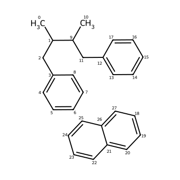 CC(Cc1ccccc1)C(C)Cc1ccccc1.c1ccc2ccccc2c1